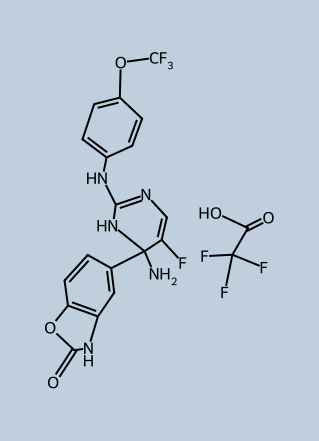 NC1(c2ccc3oc(=O)[nH]c3c2)NC(Nc2ccc(OC(F)(F)F)cc2)=NC=C1F.O=C(O)C(F)(F)F